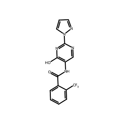 O=C(Nc1cnc(-n2cccn2)nc1O)c1ccccc1C(F)(F)F